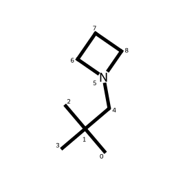 CC(C)(C)CN1CCC1